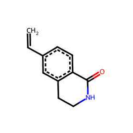 C=Cc1ccc2c(c1)CCNC2=O